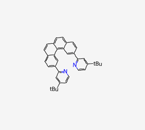 CC(C)(C)c1ccnc(-c2ccc3ccc4ccc5ccc(-c6cc(C(C)(C)C)ccn6)cc5c4c3c2)c1